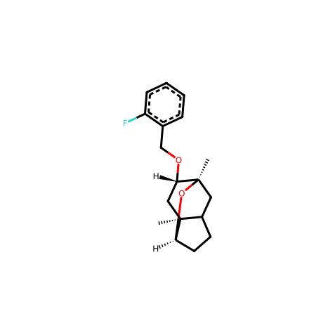 C[C@]12CC3CC[C@@H](O1)[C@@]3(C)C[C@@H]2OCc1ccccc1F